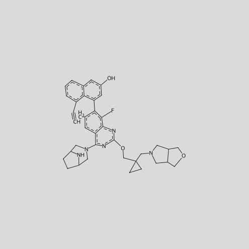 C#Cc1cccc2cc(O)cc(-c3c(C)cc4c(N5CC6CCC(C5)N6)nc(OCC5(CN6CC7COCC7C6)CC5)nc4c3F)c12